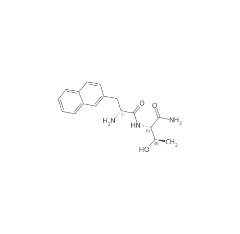 C[C@@H](O)[C@H](NC(=O)[C@H](N)Cc1ccc2ccccc2c1)C(N)=O